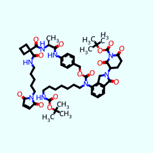 C[C@H](NC(=O)C1(C(=O)NCCCCCN2C(=O)C=CC2=O)CCC1)C(=O)Nc1ccc(COC(=O)N(CCCCCCCNC(=O)OC(C)(C)C)c2cccc3c2CN(C2CCC(=O)N(C(=O)OC(C)(C)C)C2=O)C3=O)cc1